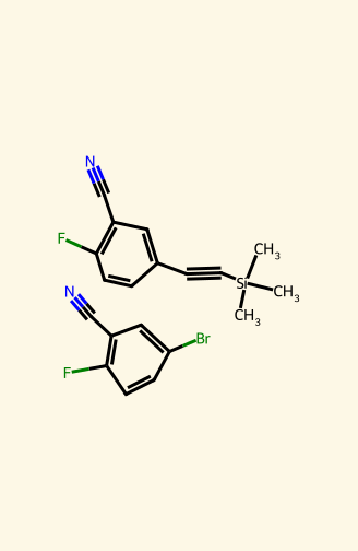 C[Si](C)(C)C#Cc1ccc(F)c(C#N)c1.N#Cc1cc(Br)ccc1F